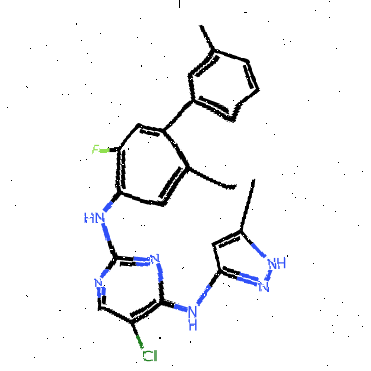 Cc1cccc(-c2cc(F)c(Nc3ncc(Cl)c(Nc4cc(C)[nH]n4)n3)cc2C)c1